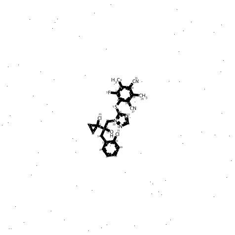 Cc1c(F)c(Sc2ncnn2CC(O)(Cc2ccccc2Cl)C2(Cl)CC2)c(C#N)c(C)c1C#N